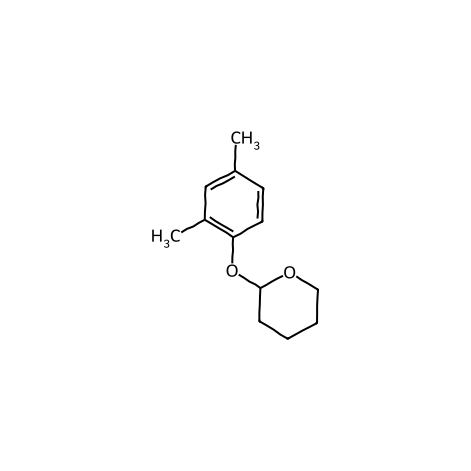 Cc1ccc(OC2CCCCO2)c(C)c1